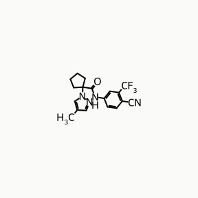 Cc1cnn(C2(C(=O)Nc3ccc(C#N)c(C(F)(F)F)c3)CCCC2)c1